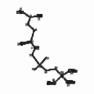 CCCCC(O)CCC(=O)NCC(C)(C)CC[Si](OC)(OC)OC